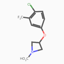 O=C(O)N1CC(Oc2ccc(Cl)c(C(F)(F)F)c2)C1